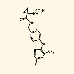 O=C(O)NC1(C(=O)NCc2ccc(Nc3ccc(F)cc3C(F)(F)F)cn2)CC1